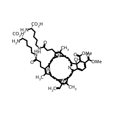 C=Cc1c(C)c2cc3nc(cc4[nH]c(cc5nc(cc1[nH]2)C(C)=C5CCC(=O)NCCCC[C@H](N)C(=O)O)c(CCC(=O)NCCCC[C@H](N)C(=O)O)c4C)[C@@]1(C)C3=CC=C(C(=O)OC)C1C(=O)OC